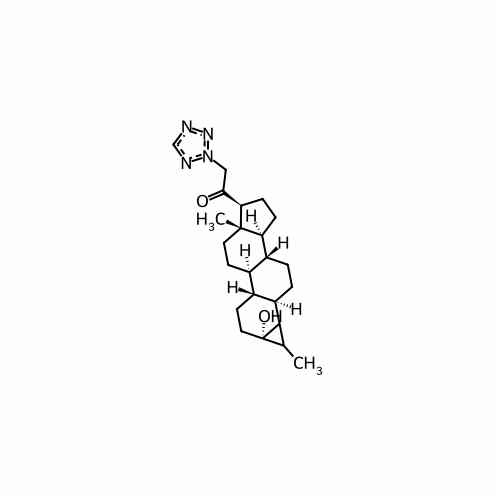 CC1C2[C@@H]3CC[C@@H]4[C@H](CC[C@]5(C)[C@@H](C(=O)Cn6ncnn6)CC[C@@H]45)[C@H]3CC[C@]12O